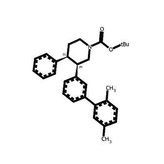 Cc1ccc(C)c(-c2cccc([C@@H]3CN(C(=O)OC(C)(C)C)CC[C@@H]3c3ccccc3)c2)c1